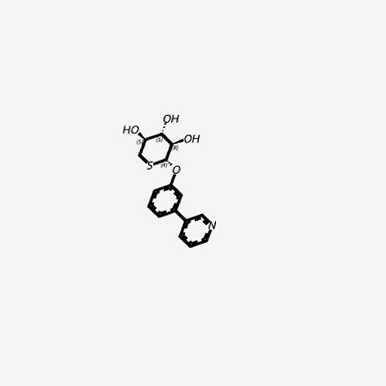 O[C@@H]1[C@@H](O)[C@H](Oc2cccc(-c3cccnc3)c2)SC[C@H]1O